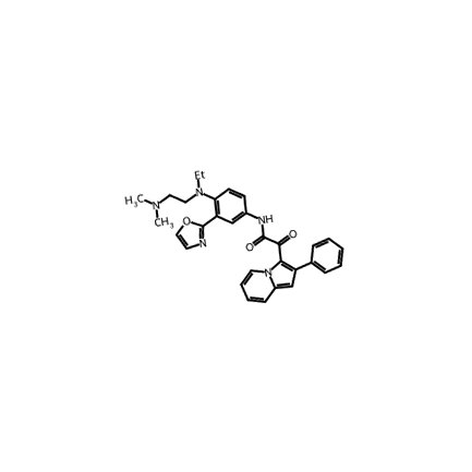 CCN(CCN(C)C)c1ccc(NC(=O)C(=O)c2c(-c3ccccc3)cc3ccccn23)cc1-c1ncco1